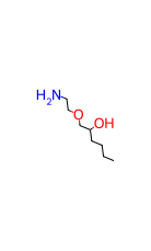 CCCCC(O)COCCN